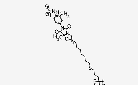 Cc1cc(N2C(=O)N(CCCCCCCCCSCCCC(F)(F)C(F)(F)F)C(C)(C)C2=O)ccc1N[SH](=O)=O